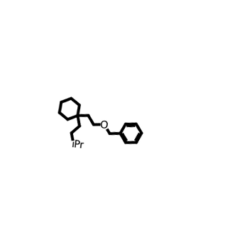 CC(C)CCC1(CCOCc2ccccc2)CCCCC1